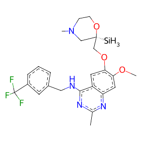 COc1cc2nc(C)nc(NCc3cccc(C(F)(F)F)c3)c2cc1OC[C@@]1([SiH3])CN(C)CCO1